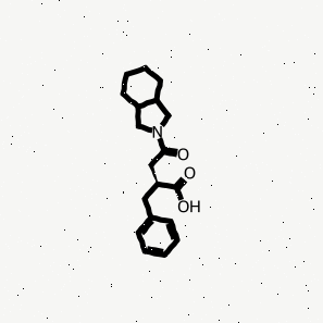 O=C(O)[C@H](CC(=O)N1CC2CCCCC2C1)Cc1ccccc1